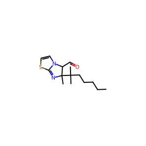 CCCCCC(C)(C)C1(C)N=C2SC=CN2C1C=O